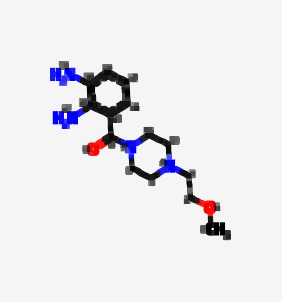 COCCN1CCN(C(=O)c2cccc(N)c2N)CC1